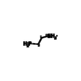 [SiH2]CCP